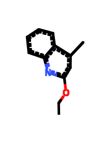 CCOc1cc(C)c2ccccc2n1